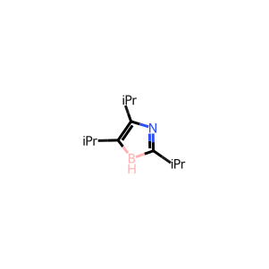 CC(C)C1=NC(C(C)C)=C(C(C)C)B1